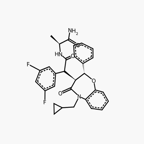 C[C@H](NC(=O)C(c1cc(F)cc(F)c1)[C@@H]1C(=O)N(CC2CC2)c2ccccc2O[C@H]1c1ccccc1)C(N)=O